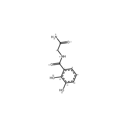 NC(=O)CNC(=O)c1cccc(O)c1O